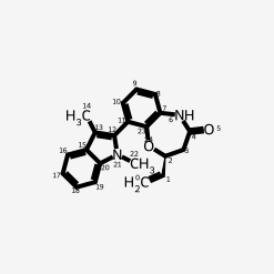 C=C[C@@H]1CC(=O)Nc2cccc(-c3c(C)c4ccccc4n3C)c2O1